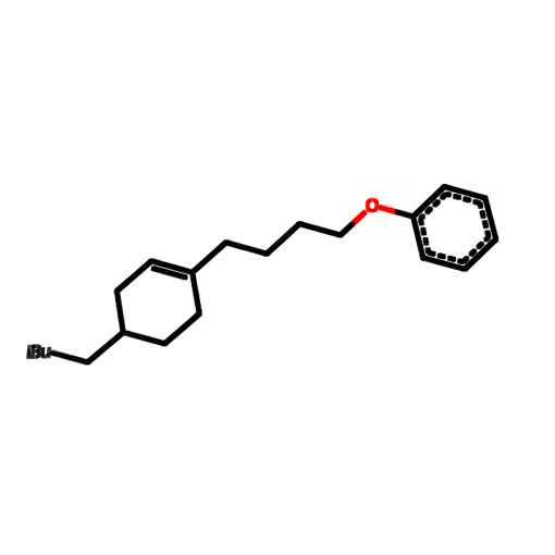 CCC(C)CC1CC=C(CCCCOc2ccccc2)CC1